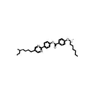 CCCCCC[C@@H](C)Oc1ccc(C(=O)Oc2ccc(-c3ncc(CCCCC(C)CC)cn3)cc2)cc1